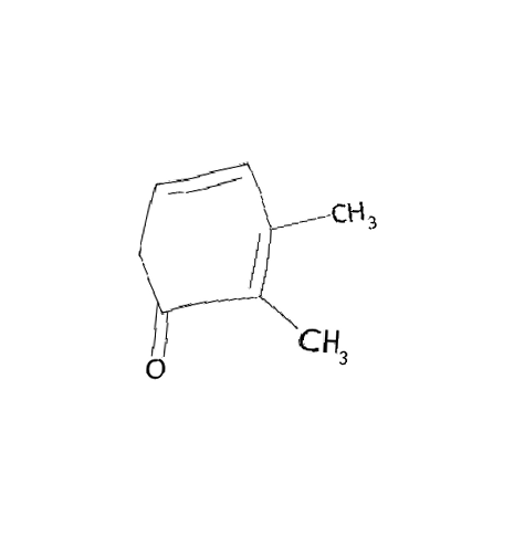 CC1=C(C)C(=O)CC=C1